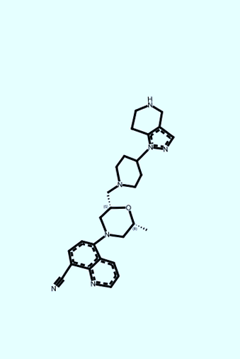 C[C@@H]1CN(c2ccc(C#N)c3ncccc23)C[C@H](CN2CCC(n3ncc4c3CCNC4)CC2)O1